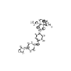 CC1(C)OB(c2ccc(OC3CCN(C4COC4)CC3)cc2)OC1(C)C